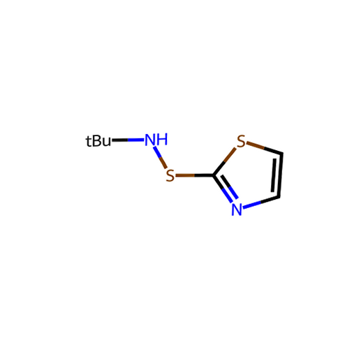 CC(C)(C)NSc1nccs1